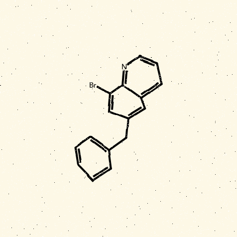 Brc1cc(Cc2ccccc2)cc2cccnc12